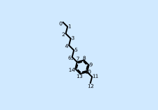 CCCCCC[CH]c1ccc(CC)cc1